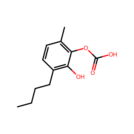 CCCCc1ccc(C)c(OC(=O)O)c1O